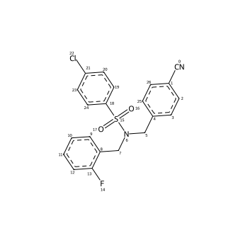 N#Cc1ccc(CN(Cc2ccccc2F)S(=O)(=O)c2ccc(Cl)cc2)cc1